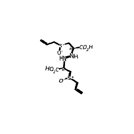 C=CC[S+]([O-])C[C@H](NN[C@@H](C[S+]([O-])CC=C)C(=O)O)C(=O)O